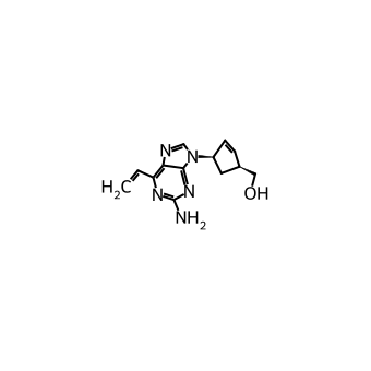 C=Cc1nc(N)nc2c1ncn2[C@H]1C=C[C@@H](CO)C1